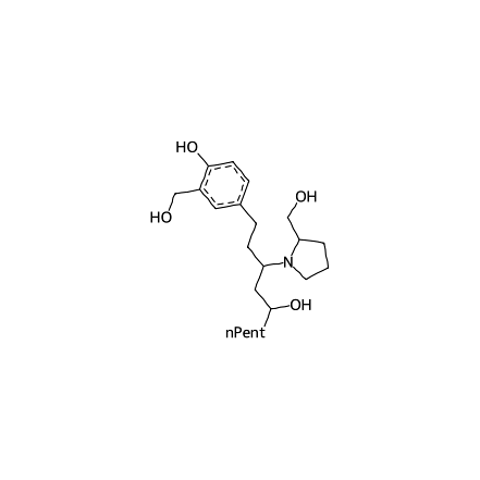 CCCCCC(O)CC(CCc1ccc(O)c(CO)c1)N1CCCC1CO